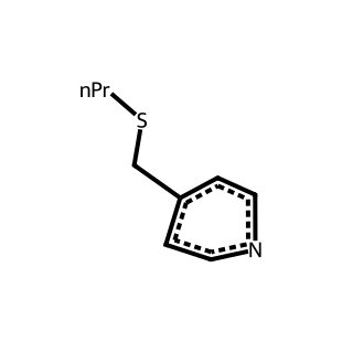 CCCSCc1ccncc1